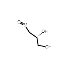 O=[S+]C[C@H](O)CO